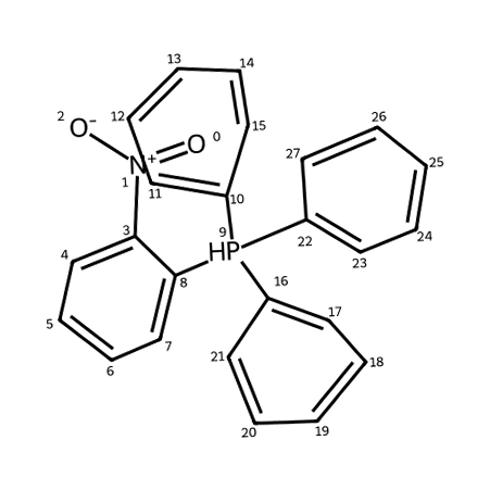 O=[N+]([O-])c1ccccc1[PH](c1ccccc1)(c1ccccc1)c1ccccc1